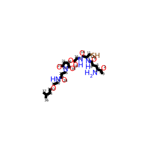 CC(=O)C(N)CCC(=O)NC(CS)C(=O)NCC(=O)OC1CC(=O)N(CCC(=O)NCCOCCC(C)C)C1=O